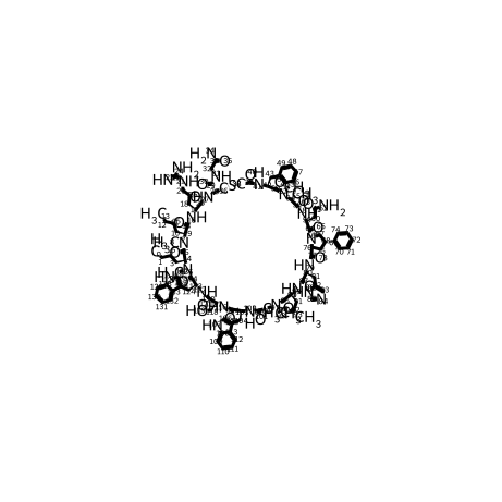 CCCC[C@H]1C(=O)N(C)[C@@H](CCCC)C(=O)N[C@@H](CCCNC(=N)N)C(=O)N[C@H](C(=O)NCC(N)=O)CSCC(=O)N[C@@H](Cc2ccccc2)C(=O)N(C)[C@@H](C)C(=O)N[C@@H](CC(N)=O)C(=O)N2C[C@H](c3ccccc3)CC2C(=O)N[C@@H](Cc2cnc[nH]2)C(=O)N[C@@H](CC(C)C)C(=O)N(C)CC(=O)N[C@@H](Cc2c[nH]c3ccccc23)C(=O)N[C@@H](CO)C(=O)N[C@@H](Cc2c[nH]c3ccccc23)C(=O)N1C